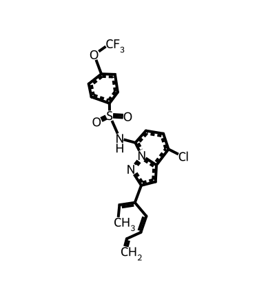 C=C/C=C\C(=C/C)c1cc2c(Cl)ccc(NS(=O)(=O)c3ccc(OC(F)(F)F)cc3)n2n1